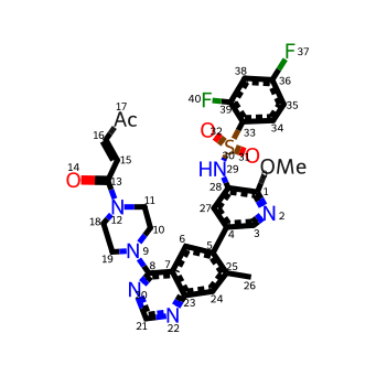 COc1ncc(-c2cc3c(N4CCN(C(=O)/C=C/C(C)=O)CC4)ncnc3cc2C)cc1NS(=O)(=O)c1ccc(F)cc1F